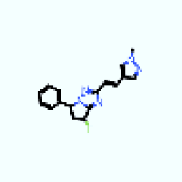 Cn1cc(/C=C/c2nc3n(n2)C(c2ccccc2)CC3F)cn1